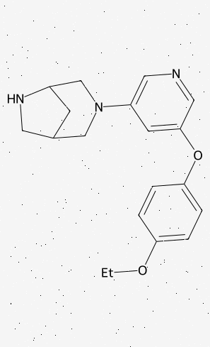 CCOc1ccc(Oc2cncc(N3CC4CNC(C4)C3)c2)cc1